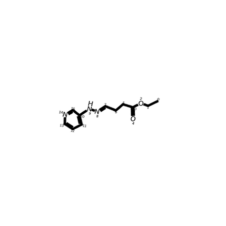 CCOC(=O)CCC=NNc1cccnc1